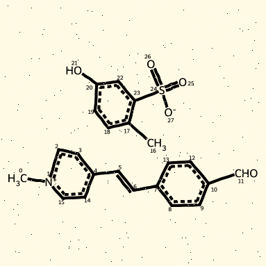 C[n+]1ccc(C=Cc2ccc(C=O)cc2)cc1.Cc1ccc(O)cc1S(=O)(=O)[O-]